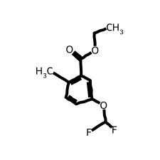 CCOC(=O)c1cc(OC(F)F)ccc1C